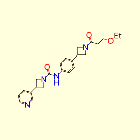 CCOCCC(=O)N1CC(c2ccc(NC(=O)N3CC(c4cccnc4)C3)cc2)C1